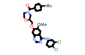 CCCCc1ccc(C(=O)N2CCOC(COc3cc4ncnc(Nc5ccc(Cl)c(Cl)c5)c4cc3OC)C2)cc1